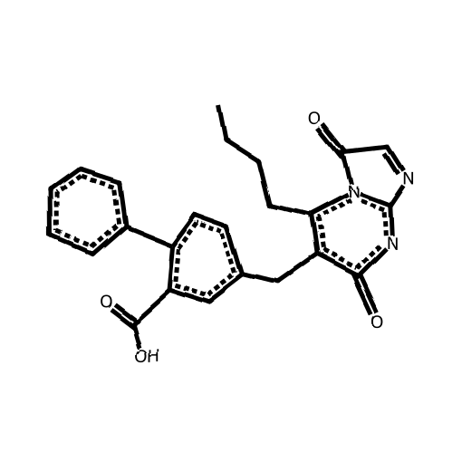 CCCCc1c(Cc2ccc(-c3ccccc3)c(C(=O)O)c2)c(=O)nc2n1C(=O)C=N2